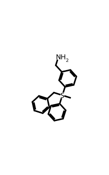 CS(Cc1ccccc1)(c1ccccc1)c1cccc(CN)c1